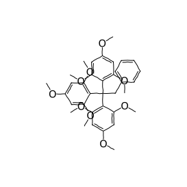 COc1cc(OC)c(C(Cc2ccccc2)(c2c(OC)cc(OC)cc2OC)c2c(OC)cc(OC)cc2OC)c(OC)c1